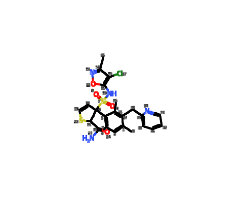 Cc1cc(C)c(C2(S(=O)(=O)Nc3onc(C)c3Cl)C=CSC2C(N)=O)c(C)c1Cc1ccccn1